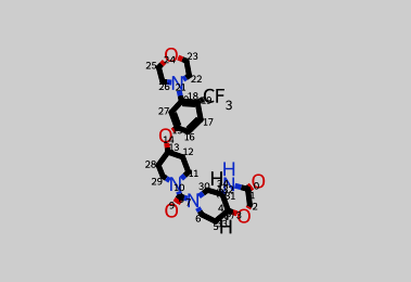 O=C1CO[C@H]2CCN(C(=O)N3CCC(Oc4ccc(C(F)(F)F)c(N5CCOCC5)c4)CC3)C[C@H]2N1